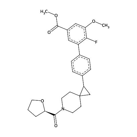 COC(=O)c1cc(OC)c(F)c(-c2ccc(C3CC34CCN(C(=O)[C@H]3CCCO3)CC4)cc2)c1